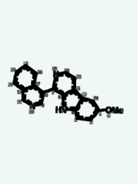 COc1ccc2[nH]c3c(-c4cncc5ccccc45)nccc3c2c1